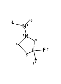 CN(C)N1CCC(F)(F)C1